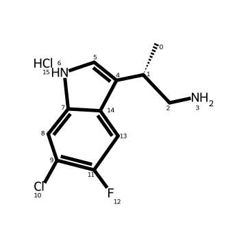 C[C@H](CN)c1c[nH]c2cc(Cl)c(F)cc12.Cl